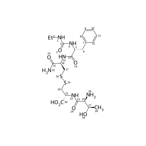 CCNC(=O)N[C@H](Cc1ccccc1)C(=O)N[C@@H](CSSC[C@H](NC(=O)[C@@H](N)[C@@H](C)O)C(=O)O)C(N)=O